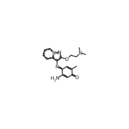 CC1=C/C(=N\c2c(OCCN(C)C)nn3ccccc23)C(N)=CC1=O